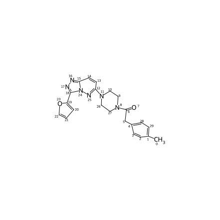 Cc1ccc(CC(=O)N2CCN(c3ccc4nnc(-c5ccco5)n4n3)CC2)cc1